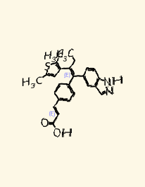 CC/C(=C(/c1ccc(/C=C/C(=O)O)cc1)c1ccc2[nH]ncc2c1)c1cc(C)sc1C